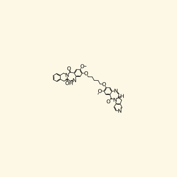 COc1cc2c(cc1OCCCCCOc1cc3c(cc1OC)C(=O)N1Cc4ccccc4C[C@@]1(O)C=N3)N=C[C@@H]1Cc3cnccc3N1C2=O